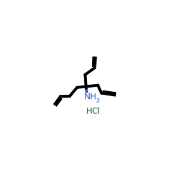 C=CCCC(N)(CC=C)CC=C.Cl